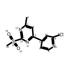 Cc1cc(-c2ccnc(Cl)c2)nc(S(C)(=O)=O)n1